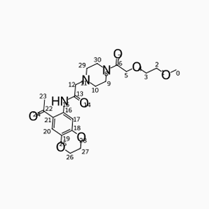 COCCOCC(=O)N1CCN(CC(=O)Nc2cc3c(cc2C(C)=O)OCCO3)CC1